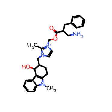 Cc1n(CC2CCc3c(c4ccccc4n3C)C2O)cc[n+]1COC(=O)C(CN)Cc1ccccc1